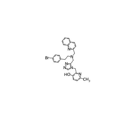 Cc1ccc(O)c(Cn2cnnc2CN(CCc2ccc(Br)cc2)Cc2ccc3ccccc3n2)n1